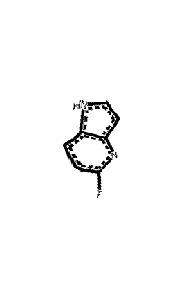 Fc1ccc2[nH]ccc2n1